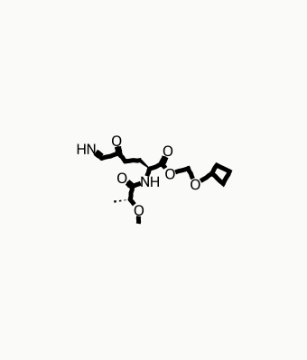 CO[C@H](C)C(=O)N[C@@H](CCC(=O)C=N)C(=O)OCOC1CCC1